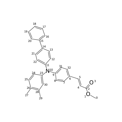 COC(=O)/C=C/c1ccc(N(c2ccc(-c3ccccc3)cc2)c2ccc(C)c(C)c2)cc1